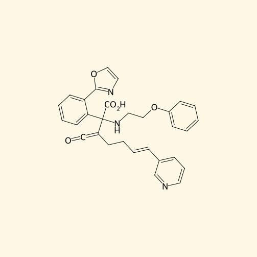 O=C=C(CCC=Cc1cccnc1)C(NCCOc1ccccc1)(C(=O)O)c1ccccc1-c1ncco1